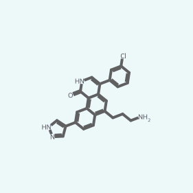 NCCCc1cc2c(-c3cccc(Cl)c3)c[nH]c(=O)c2c2cc(-c3cn[nH]c3)ccc12